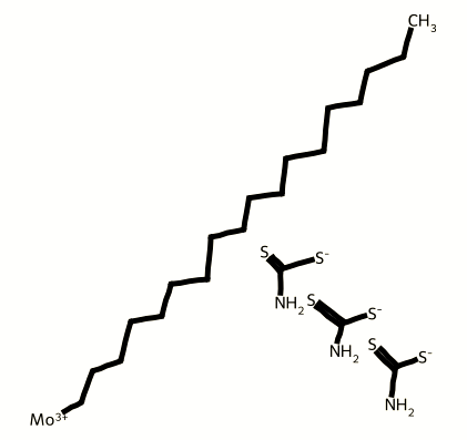 CCCCCCCCCCCCCCCCC[CH2][Mo+3].NC(=S)[S-].NC(=S)[S-].NC(=S)[S-]